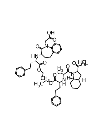 CCOC(=O)[C@H](CCc1ccccc1)N[C@@H](C)C(=O)N1[C@H](C(=O)O)C[C@H]2CCCC[C@@H]21.CCOC(=O)[C@H](CCc1ccccc1)N[C@H]1CCc2ccccc2N(CC(=O)O)C1=O.Cl